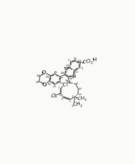 CC1(C)/C=C\C(Cl)=C/CN(c2nc3cc(C(=O)O)ccc3nc2-c2ccc3c(c2)OCCO3)CCC1